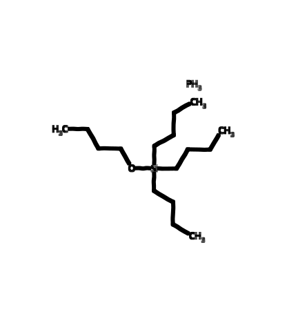 CCCCO[Si](CCCC)(CCCC)CCCC.P